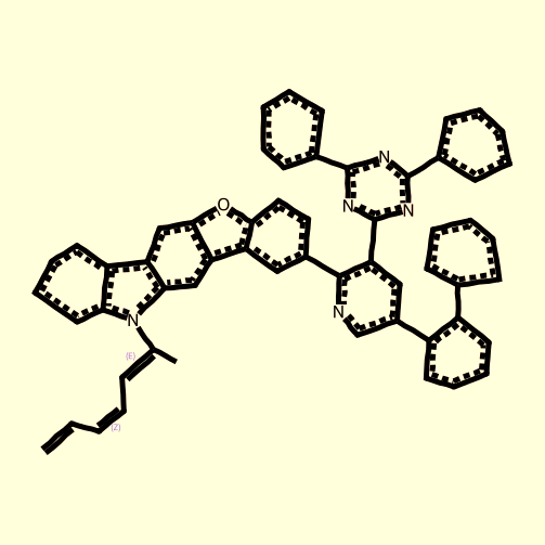 C=C/C=C\C=C(/C)n1c2ccccc2c2cc3oc4ccc(-c5ncc(-c6ccccc6-c6ccccc6)cc5-c5nc(-c6ccccc6)nc(-c6ccccc6)n5)cc4c3cc21